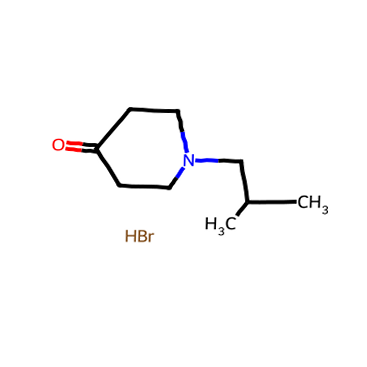 Br.CC(C)CN1CCC(=O)CC1